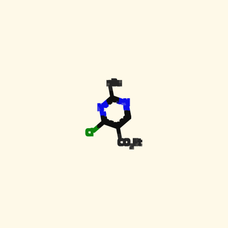 CCCCc1ncc(C(=O)OCC)c(Cl)n1